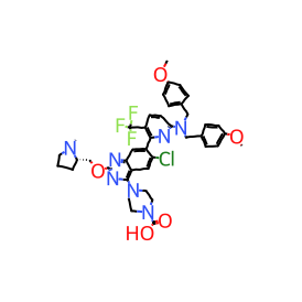 COc1ccc(CN(Cc2ccc(OC)cc2)c2ccc(C(F)(F)F)c(-c3cc4nc(OC[C@@H]5CCCN5C)nc(N5CCN(C(=O)O)CC5)c4cc3Cl)n2)cc1